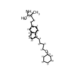 CC(CCc1ccc2c(CCCCOC3CCCCC3)csc2c1)C(N)O